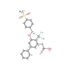 CS(=O)(=O)c1ccc(COc2cc(-c3ccccc3)cc(CC(=O)O)c2C(F)(F)F)cc1